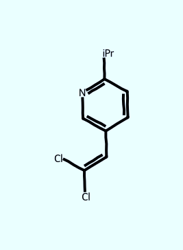 CC(C)c1ccc(C=C(Cl)Cl)cn1